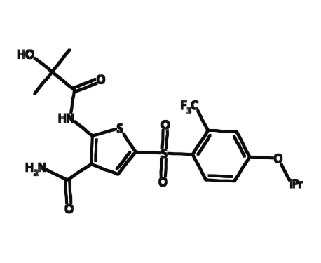 CC(C)Oc1ccc(S(=O)(=O)c2cc(C(N)=O)c(NC(=O)C(C)(C)O)s2)c(C(F)(F)F)c1